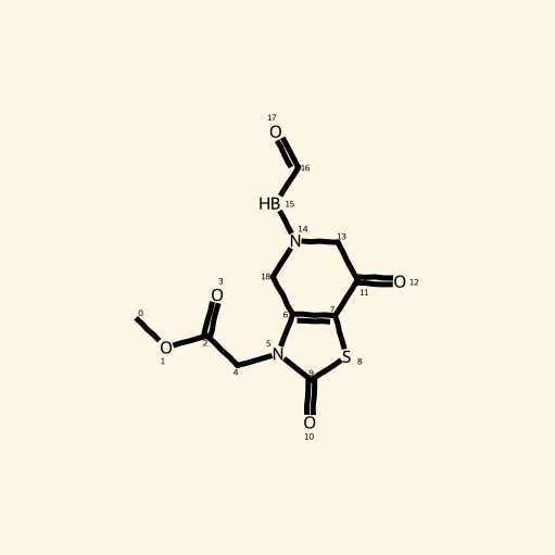 COC(=O)Cn1c2c(sc1=O)C(=O)CN(BC=O)C2